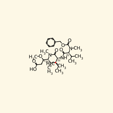 CCC(C)[C@H](NC(=O)[C@H](C(C)C)N(C)C(=O)OCc1ccccc1)C(=O)N(C)[C@@H](C(C)CC)[C@@H](CC(=O)O)OC